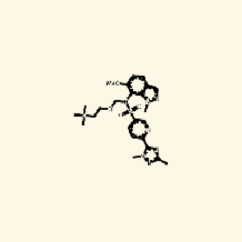 COc1ccc2cnn(C)c2c1N(COCC[Si](C)(C)C)S(=O)(=O)c1ccc(-c2nc(C)nn2C)nc1